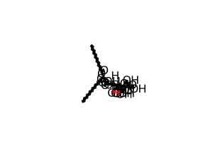 CCCCCCCCCCCCCC(=O)OC[C@H](COP(=O)(O)OCCNC(CN(CCN(CC(=O)O)CC(=O)O)CC(=O)O)N(CC(=O)O)CC(=O)O)OC(=O)CCCCCCCCCCCCC